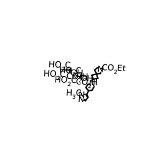 CCOC(=O)N1CCC2(CC(N3CCC(c4ccnn4C)CC3)C2)C1.O=C(O)CC(O)(CC(=O)O)C(=O)O.O=C(O)CC(O)(CC(=O)O)C(=O)O